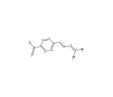 O=[N+]([O-])c1ccc(/C=C/C=C(Br)Br)cc1